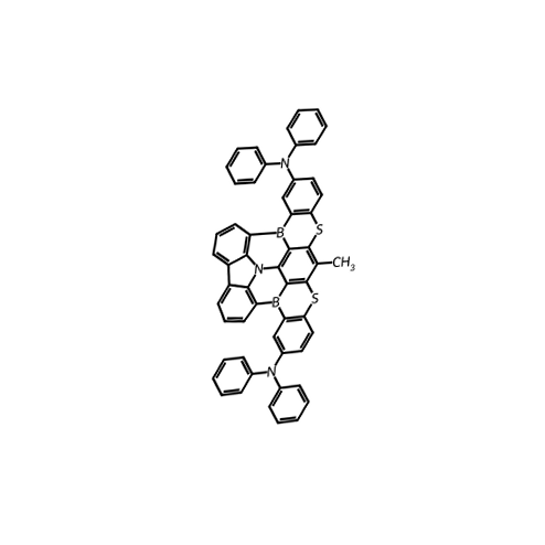 Cc1c2c3c4c5c1Sc1ccc(N(c6ccccc6)c6ccccc6)cc1B5c1cccc5c6cccc(c6n-4c15)B3c1cc(N(c3ccccc3)c3ccccc3)ccc1S2